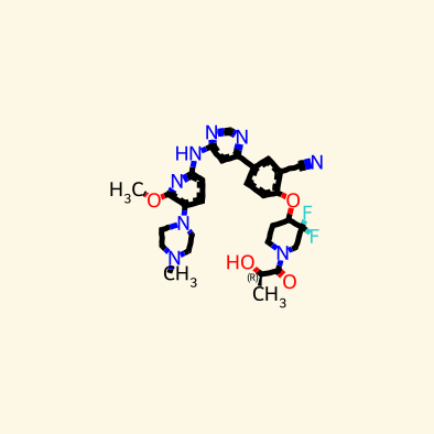 COc1nc(Nc2cc(-c3ccc(OC4CCN(C(=O)[C@@H](C)O)CC4(F)F)c(C#N)c3)ncn2)ccc1N1CCN(C)CC1